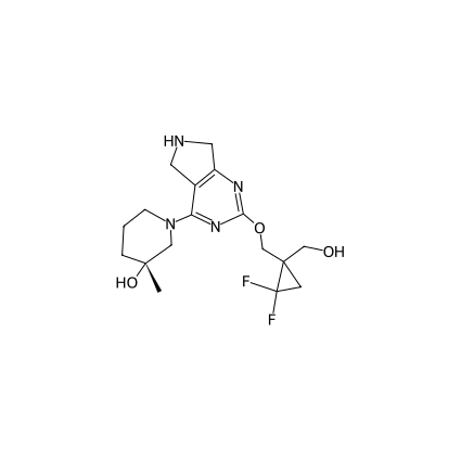 C[C@@]1(O)CCCN(c2nc(OCC3(CO)CC3(F)F)nc3c2CNC3)C1